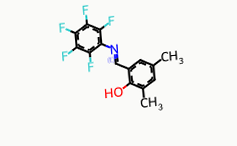 Cc1cc(C)c(O)c(/C=N/c2c(F)c(F)c(F)c(F)c2F)c1